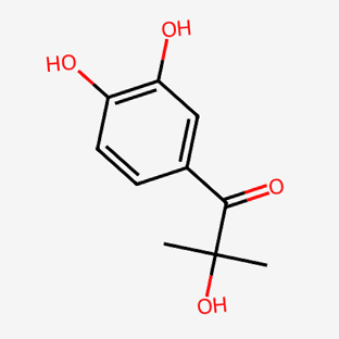 CC(C)(O)C(=O)c1ccc(O)c(O)c1